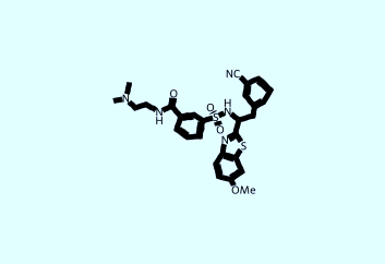 COc1ccc2nc(C(Cc3cccc(C#N)c3)NS(=O)(=O)c3cccc(C(=O)NCCN(C)C)c3)sc2c1